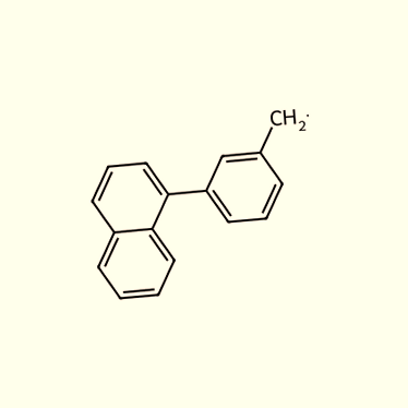 [CH2]c1cccc(-c2cccc3ccccc23)c1